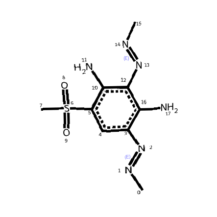 C/N=N/c1cc(S(C)(=O)=O)c(N)c(/N=N/C)c1N